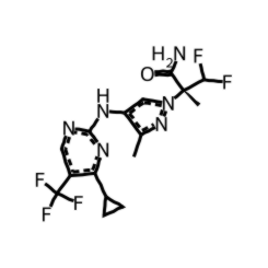 Cc1nn([C@](C)(C(N)=O)C(F)F)cc1Nc1ncc(C(F)(F)F)c(C2CC2)n1